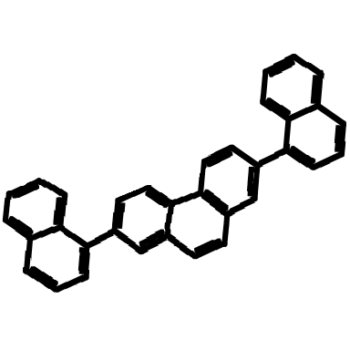 c1ccc2c(-c3ccc4c(ccc5cc(-c6cccc7ccccc67)ccc54)c3)cccc2c1